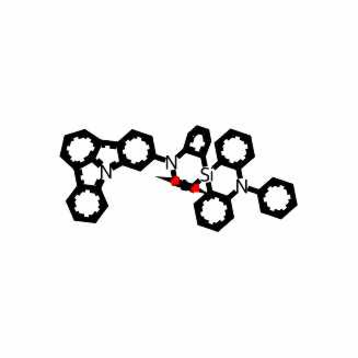 c1ccc(N2c3ccccc3[Si]3(c4ccccc42)c2ccccc2N(c2ccc4c5cccc6c7ccccc7n(c4c2)c65)c2ccccc23)cc1